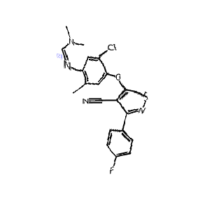 Cc1cc(Oc2snc(-c3ccc(F)cc3)c2C#N)c(Cl)cc1/N=C\N(C)C